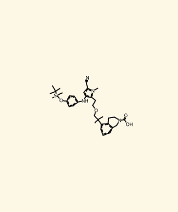 Cn1c(C#N)cc(Nc2ccc(O[Si](C)(C)C(C)(C)C)cc2)c1CCOCC(C)(C)c1cccc2c1CCN(C(=O)O)C2